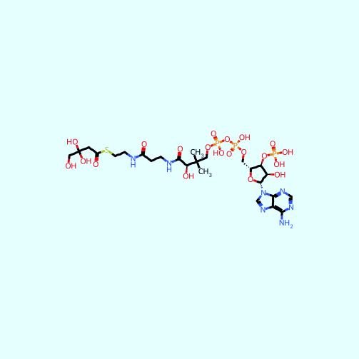 CC(C)(COP(=O)(O)OP(=O)(O)OC[C@H]1O[C@@H](n2cnc3c(N)ncnc32)[C@H](O)[C@@H]1OP(=O)(O)O)[C@@H](O)C(=O)NCCC(=O)NCCSC(=O)CC(O)(O)CO